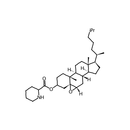 CC(C)CCC[C@@H](C)[C@H]1CC[C@H]2[C@@H]3C[C@@H]4O[C@@]45CC(OC(=O)C4CCCCN4)CC[C@]5(C)[C@H]3CC[C@]12C